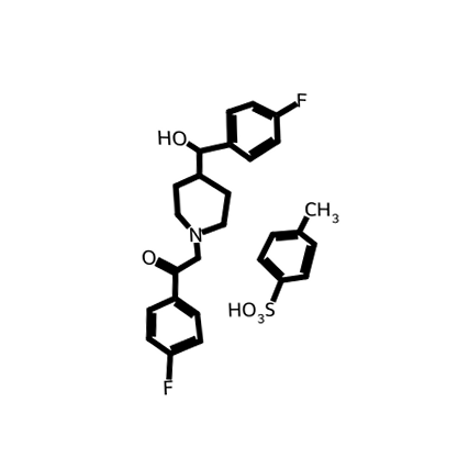 Cc1ccc(S(=O)(=O)O)cc1.O=C(CN1CCC(C(O)c2ccc(F)cc2)CC1)c1ccc(F)cc1